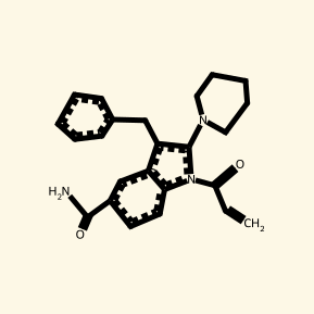 C=CC(=O)n1c(N2CCCCC2)c(Cc2ccccc2)c2cc(C(N)=O)ccc21